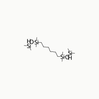 C[SiH](C)O[Si](C)(C)CCCCCC[Si](C)(C)O[SiH](C)C